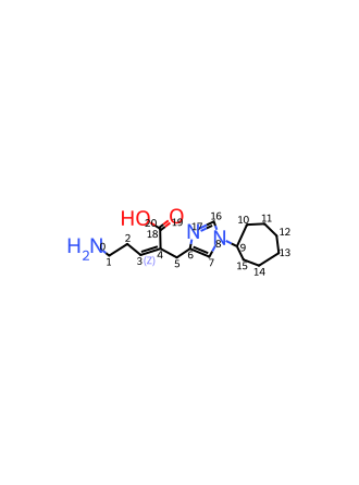 NCC/C=C(/Cc1cn(C2CCCCCC2)cn1)C(=O)O